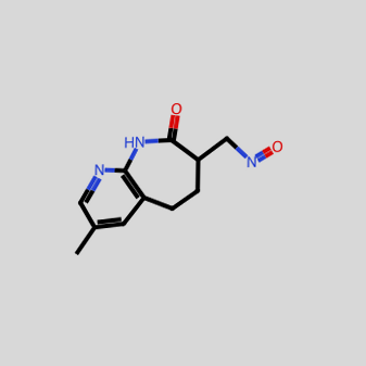 Cc1cnc2c(c1)CCC(CN=O)C(=O)N2